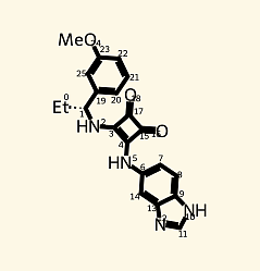 CC[C@@H](Nc1c(Nc2ccc3[nH]cnc3c2)c(=O)c1=O)c1cccc(OC)c1